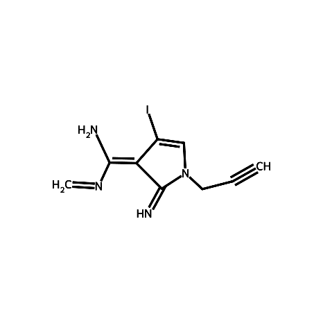 C#CCN1C=C(I)/C(=C(\N)N=C)C1=N